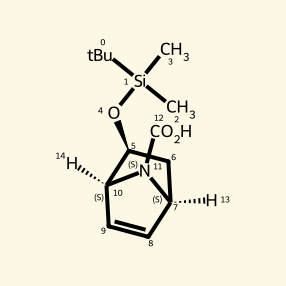 CC(C)(C)[Si](C)(C)O[C@H]1C[C@H]2C=C[C@@H]1N2C(=O)O